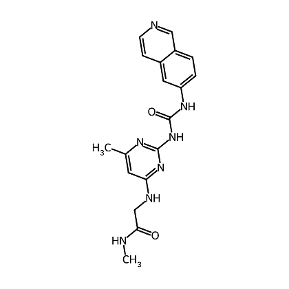 CNC(=O)CNc1cc(C)nc(NC(=O)Nc2ccc3cnccc3c2)n1